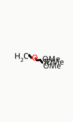 C=CCOCC[CH2][Ti]([O]C)([O]C)[O]C